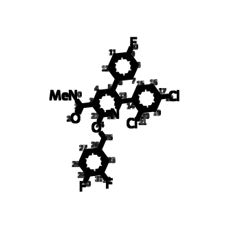 CNC(=O)c1cc(-c2ccc(F)cc2)c(-c2ccc(Cl)cc2Cl)nc1OCc1ccc(F)c(F)c1